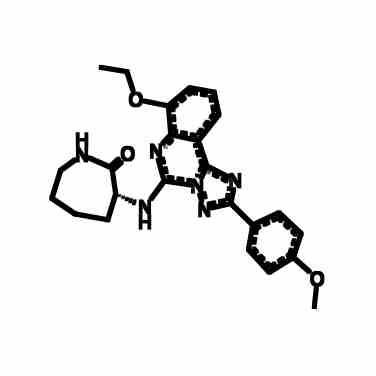 CCOc1cccc2c1nc(N[C@@H]1CCCCNC1=O)n1nc(-c3ccc(OC)cc3)nc21